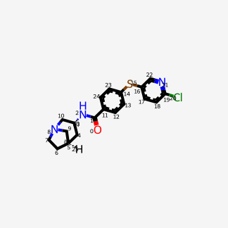 O=C(N[C@@H]1C[C@H]2CCN(C2)C1)c1ccc(Sc2ccc(Cl)nc2)cc1